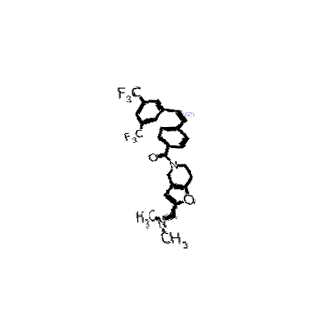 CN(C)Cc1cc2c(o1)CCN(C(=O)c1ccc(/C=C\c3cc(C(F)(F)F)cc(C(F)(F)F)c3)cc1)C2